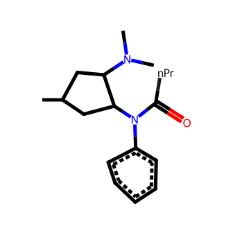 CCCC(=O)N(c1ccccc1)C1CC(C)CC1N(C)C